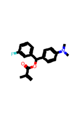 C=C(C)C(=O)OC(c1ccc(N(C)C)cc1)c1cccc(F)c1